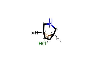 C1C[C@@H]2CNC[C@@H]1S2.Cl